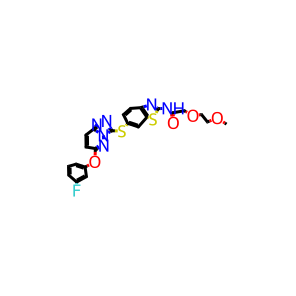 COCCOCC(=O)Nc1nc2ccc(Sc3nnc4ccc(Oc5cccc(F)c5)nn34)cc2s1